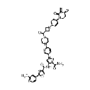 Cc1cc(-c2nc(C(=O)Nc3cn(-c4ccc(N5CCN(C(=O)C6CN(c7ccc(N8CCC(=O)NC8=O)cc7)C6)CC5)nc4)nc3C(N)=O)co2)ccn1